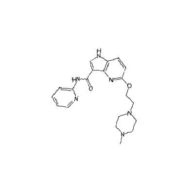 CN1CCN(CCOc2ccc3[nH]cc(C(=O)Nc4ccccn4)c3n2)CC1